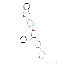 O=C(O)CN1CCN(C2CCN(C(=O)C(CC(=O)N3CCC(N4Cc5ccccc5NC4=O)CC3)Cc3cccc(C(F)(F)F)c3)CC2)CC1